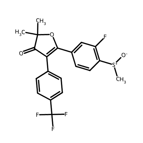 C[S+]([O-])c1ccc(C2=C(c3ccc(C(F)(F)F)cc3)C(=O)C(C)(C)O2)cc1F